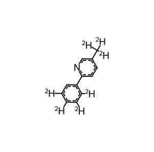 [2H]c1cc(-c2ccc(C([2H])([2H])[2H])cn2)c([2H])c([2H])c1[2H]